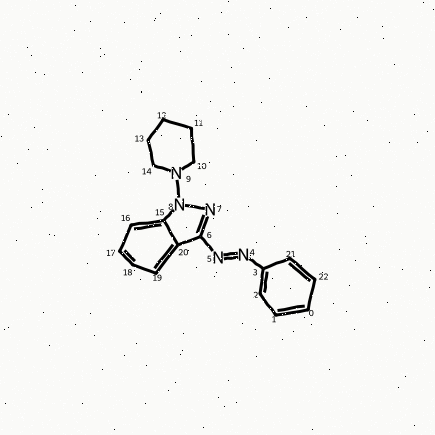 c1ccc(/N=N/c2nn(N3CCCCC3)c3ccccc23)cc1